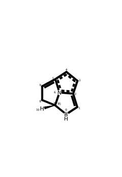 B1C=c2ccc3n2[C@H]1CC=3